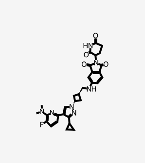 CN(C)c1nc(-c2cn([C@H]3C[C@H](CNc4ccc5c(c4)C(=O)N(C4CCC(=O)NC4=O)C5=O)C3)nc2C2CC2)ccc1F